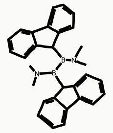 CN(C)B(B(C1c2ccccc2-c2ccccc21)N(C)C)C1c2ccccc2-c2ccccc21